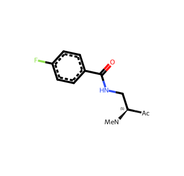 CN[C@@H](CNC(=O)c1ccc(F)cc1)C(C)=O